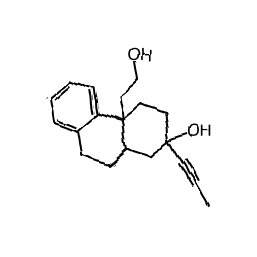 CC#CC1(O)CCC2(CCO)c3cc[c]cc3CCC2C1